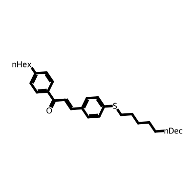 CCCCCCCCCCCCCCCSc1ccc(C=CC(=O)c2ccc(CCCCCC)cc2)cc1